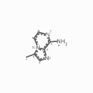 Cc1cnc2c(N)nccn12